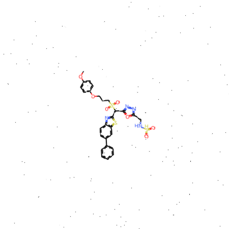 COc1ccc(OCCCS(=O)(=O)C(c2nnc(CN[SH](=O)=O)o2)c2nc3ccc(-c4ccccc4)cc3s2)cc1